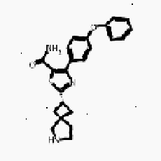 NC(=O)c1sc([C@H]2C[C@]3(CCNC3)C2)nc1-c1ccc(Oc2ccccc2)cc1